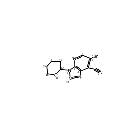 N#Cc1c(Br)cnc2c1cnn2C1CCCCO1